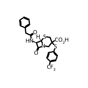 O=C(Cc1ccccc1)N[C@@H]1C(=O)N2CC(Sc3ccc(C(F)(F)F)cc3)(C(=O)O)CS[C@H]12